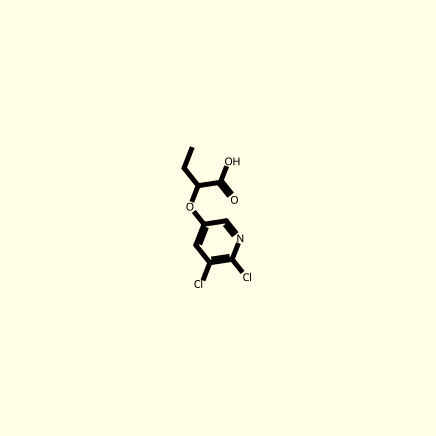 CCC(Oc1cnc(Cl)c(Cl)c1)C(=O)O